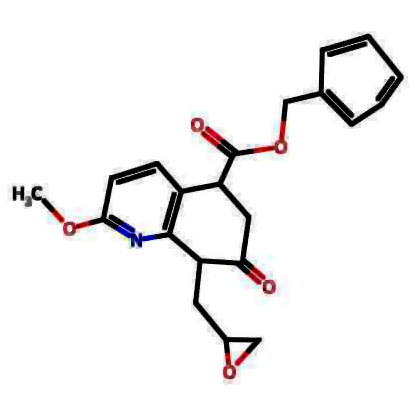 COc1ccc2c(n1)C(CC1CO1)C(=O)CC2C(=O)OCc1ccccc1